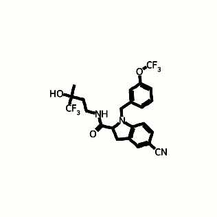 CC(O)(CCNC(=O)C1Cc2cc(C#N)ccc2N1Cc1cccc(OC(F)(F)F)c1)C(F)(F)F